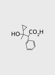 CC(O)(C1CC1)C(C(=O)O)c1ccccc1